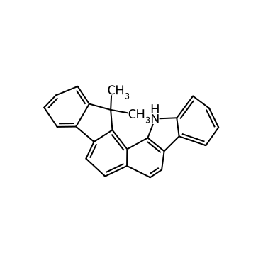 CC1(C)c2ccccc2-c2ccc3ccc4c5ccccc5[nH]c4c3c21